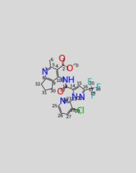 COC(=O)c1c(C)nc2c(c1NC(=O)c1cc(C(F)(F)F)nn1-c1ncccc1Cl)CCC2